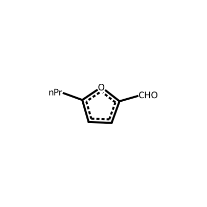 CCCc1ccc(C=O)o1